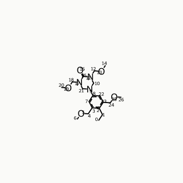 CCc1c(COC)cc(N2CN(COC)C(=O)N(COC)C2)cc1COC